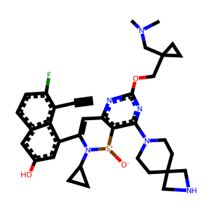 C#Cc1c(F)ccc2cc(O)cc(C3=Cc4nc(OCC5(CN(C)C)CC5)nc(N5CCC6(CC5)CNC6)c4[S+]([O-])N3C3CC3)c12